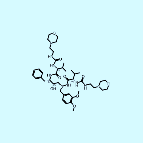 COc1ccc(CN(C[C@H](O)[C@H](Cc2ccccc2)NC(=O)[C@@H](NC(=O)NCCN2CCOCC2)C(C)C)NC(=O)[C@@H](NC(=O)NCCN2CCOCC2)C(C)C)cc1OC